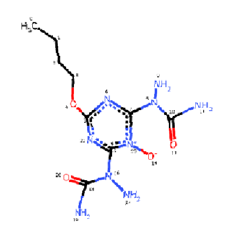 CCCCOc1nc(N(N)C(N)=O)[n+]([O-])c(N(N)C(N)=O)n1